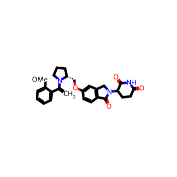 C=C(c1ccccc1OC)N1CCC[C@@H]1COc1ccc2c(c1)CN(C1CCC(=O)NC1=O)C2=O